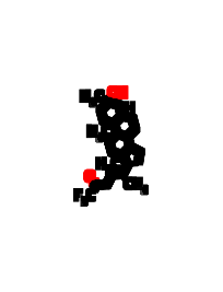 C[C@H](CCC(=O)C(F)(F)F)[C@H]1CCC2C3CC[C@H]4C[C@@](C)(O)CC[C@]4(C)C3CC[C@@]21C